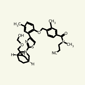 Cc1ccc(OCc2ccc(C(=O)N(C)CCC#N)cc2C)c(-c2csc(N3C[C@H]4CC[C@H](C3)[C@H](COCO)C4)n2)c1